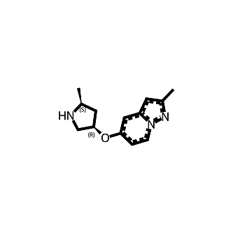 Cc1cc2cc(O[C@H]3CN[C@@H](C)C3)ccn2n1